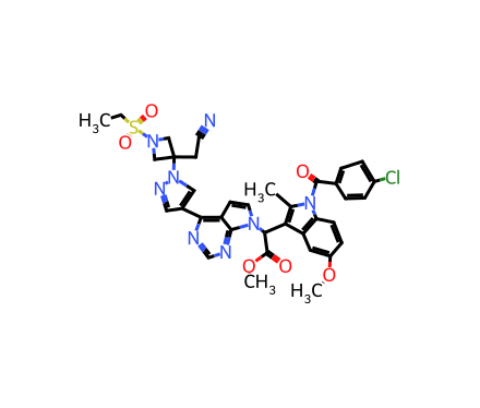 CCS(=O)(=O)N1CC(CC#N)(n2cc(-c3ncnc4c3ccn4C(C(=O)OC)c3c(C)n(C(=O)c4ccc(Cl)cc4)c4ccc(OC)cc34)cn2)C1